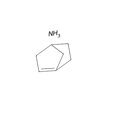 C1=C2CCC(C1)C2.N